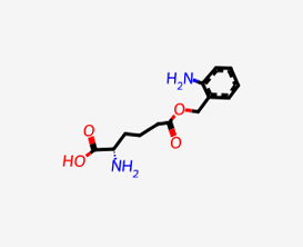 Nc1ccccc1COC(=O)CCC[C@H](N)C(=O)O